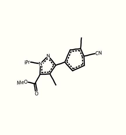 COC(=O)c1c(C)c(-c2ccc(C#N)c(C)c2)nn1C(C)C